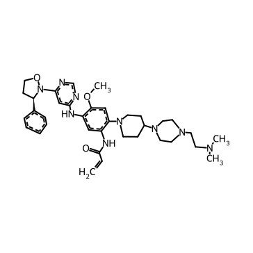 C=CC(=O)Nc1cc(Nc2cc(N3OCC[C@@H]3c3ccccc3)ncn2)c(OC)cc1N1CCC(N2CCN(CCN(C)C)CC2)CC1